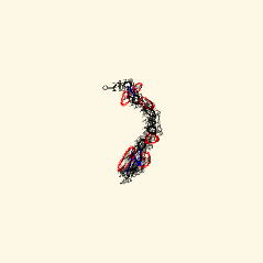 CCCC(C)(C)c1cccc(N2C(=O)c3ccc(Oc4ccc(C(C)(C)c5ccc(Oc6ccc7c(c6)C(=O)N(C(C)(CC)CCC)C7=O)cc5)cc4)cc3C2=O)c1